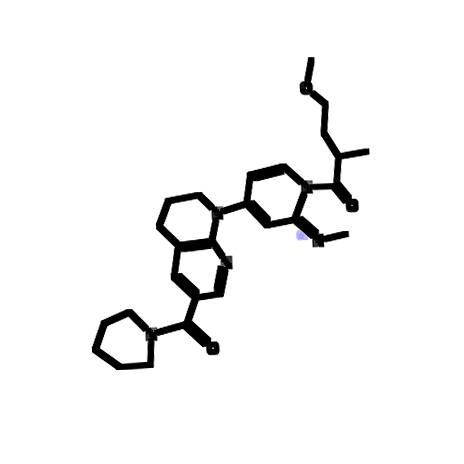 C/N=c1/cc(N2CCCc3cc(C(=O)N4CCCCC4)cnc32)ccn1C(=O)C(C)CCOC